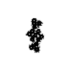 c1ccc(-n2c3ccccc3c3c(-c4cccc(-c5cc6c7c(c5)Sc5ccccc5B7c5ccccc5S6)c4)c4c(c(-c5cccc(-c6cc7c8c(c6)Sc6ccccc6B8c6ccccc6S7)c5)c32)c2ccccc2n4-c2ccccc2)cc1